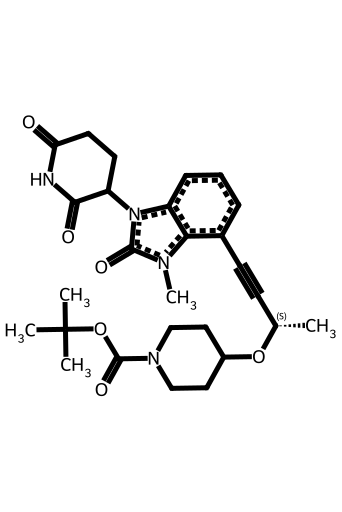 C[C@@H](C#Cc1cccc2c1n(C)c(=O)n2C1CCC(=O)NC1=O)OC1CCN(C(=O)OC(C)(C)C)CC1